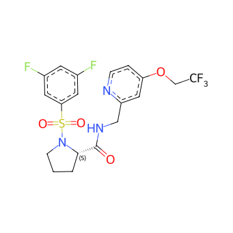 O=C(NCc1cc(OCC(F)(F)F)ccn1)[C@@H]1CCCN1S(=O)(=O)c1cc(F)cc(F)c1